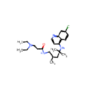 CCN(CC)CCC(=O)NCC(C)CC(C)(C)Nc1ccnc2cc(Cl)ccc12